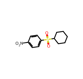 O=[N+]([O-])c1ccc(S(=O)(=O)C2CCCCC2)cc1